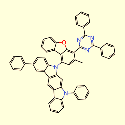 Cc1cc(-n2c3ccc(-c4ccccc4)cc3c3cc4c5ccccc5n(-c5ccccc5)c4cc32)c2c(oc3ccccc32)c1-c1nc(-c2ccccc2)nc(-c2ccccc2)n1